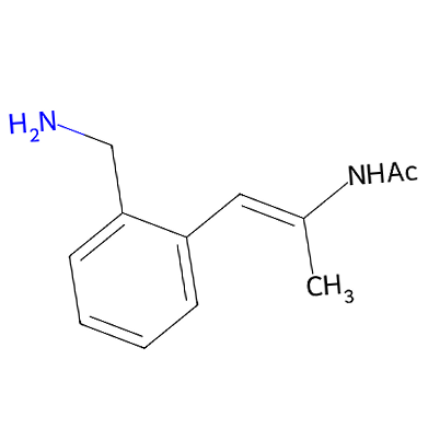 CC(=O)N/C(C)=C/c1ccccc1CN